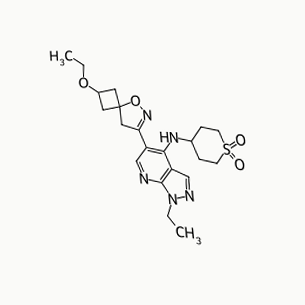 CCOC1CC2(CC(c3cnc4c(cnn4CC)c3NC3CCS(=O)(=O)CC3)=NO2)C1